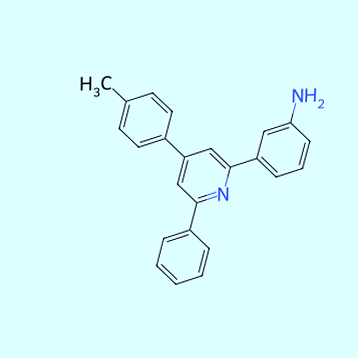 Cc1ccc(-c2cc(-c3ccccc3)nc(-c3cccc(N)c3)c2)cc1